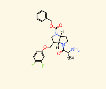 CC(C)(C)[C@H](N)C(=O)N1CC[C@@H]2[C@H]1[C@@H](COc1ccc(F)c(F)c1)CN2C(=O)OCc1ccccc1